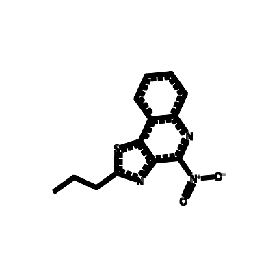 CCCc1nc2c([N+](=O)[O-])nc3ccccc3c2s1